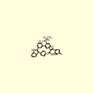 CNC(=O)c1c(-c2ccc(F)cc2)oc2cc(N(C)S(C)(=O)=O)c(-c3cccc(-c4[nH]c5ccccc5c4-c4cccnc4)c3)cc12